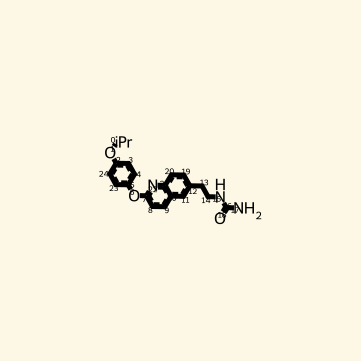 CC(C)Oc1ccc(Oc2ccc3cc(CCNC(N)=O)ccc3n2)cc1